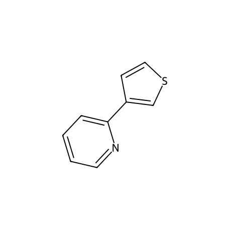 c1ccc(-c2ccsc2)nc1